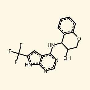 OC1COc2ccccc2C1Nc1ncnc2[nH]c(C(F)(F)F)cc12